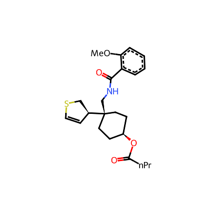 CCCC(=O)O[C@H]1CC[C@](CNC(=O)c2ccccc2OC)([C@H]2C=CSC2)CC1